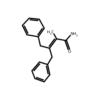 CC(C(N)=O)=C(Cc1ccccc1)Cc1ccccc1